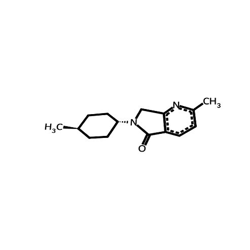 Cc1ccc2c(n1)CN([C@H]1CC[C@H](C)CC1)C2=O